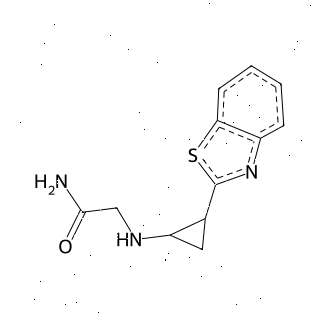 NC(=O)CNC1CC1c1nc2ccccc2s1